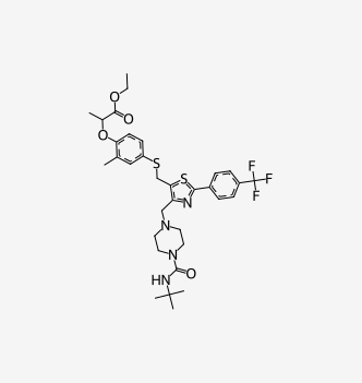 CCOC(=O)C(C)Oc1ccc(SCc2sc(-c3ccc(C(F)(F)F)cc3)nc2CN2CCN(C(=O)NC(C)(C)C)CC2)cc1C